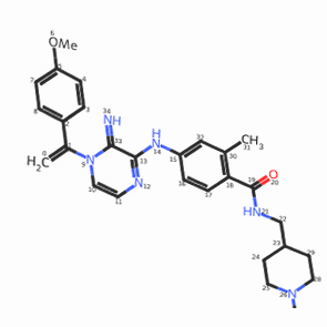 C=C(c1ccc(OC)cc1)n1ccnc(Nc2ccc(C(=O)NCC3CCN(C)CC3)c(C)c2)c1=N